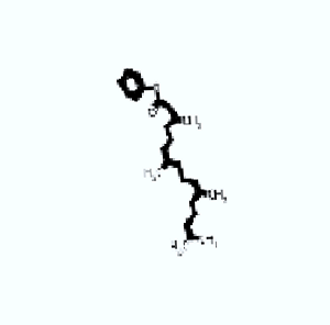 CC(C)CCCC(C)CCCC(C)CCCC(C)CC(=O)Oc1ccccc1